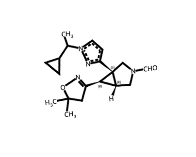 CC(C1CC1)n1ccc([C@@]23CN(C=O)C[C@@H]2[C@H]3C2=NOC(C)(C)C2)n1